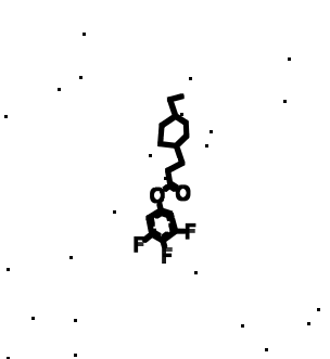 CCC1CCC(CCC(=O)Oc2cc(F)c(F)c(F)c2)CC1